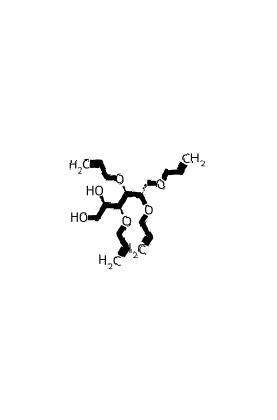 C=CCOC[C@H](OCC=C)[C@@H](OCC=C)[C@H](OCC=C)[C@H](O)CO